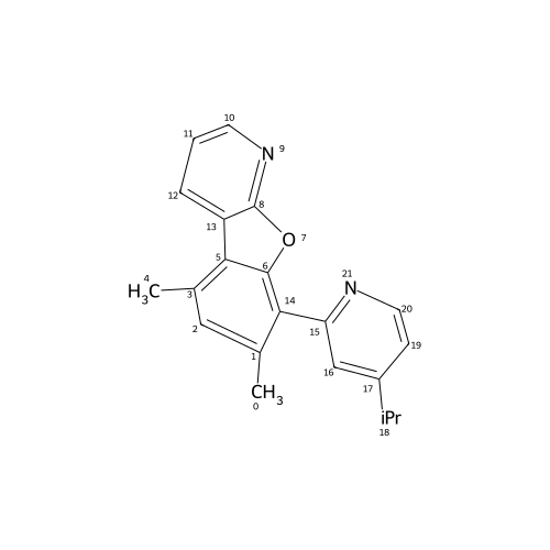 Cc1cc(C)c2c(oc3ncccc32)c1-c1cc(C(C)C)ccn1